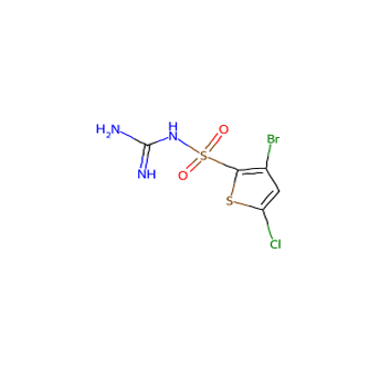 N=C(N)NS(=O)(=O)c1sc(Cl)cc1Br